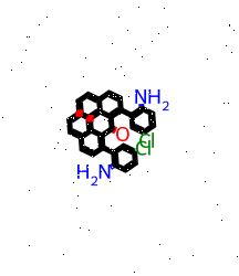 Nc1ccc(Cl)cc1-c1ccc2ccccc2c1C(=O)c1c(-c2cc(Cl)ccc2N)ccc2ccccc12